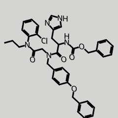 CCCN(C(=O)CN(Cc1ccc(OCc2ccccc2)cc1)C(=O)C(Cc1c[nH]cn1)NC(=O)OCc1ccccc1)c1ccccc1Cl